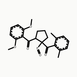 COc1cccc(OC)c1C(=O)C1CCCC1(P=O)C(=O)c1c(C)cccc1C